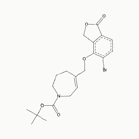 CC(C)(C)OC(=O)N1CC=C(COc2c(Br)ccc3c2COC3=O)CCC1